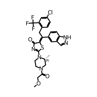 COCC(=O)N1CCN(C2=NC(=O)C(=C(Cc3ccc(Cl)cc3C(F)(F)F)c3ccc4[nH]ncc4c3)S2)[C@H](C)C1